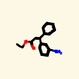 CCOC(=O)C=C(c1ccccc1)c1cccc(N)c1